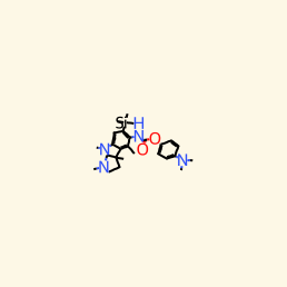 Cc1c(NC(=O)Oc2ccc(N(C)C)cc2)c([Si](C)(C)C)cc2c1C1(C)CCN(C)C1N2C